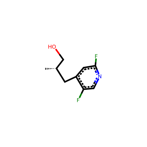 C[C@H](CO)Cc1cc(F)ncc1F